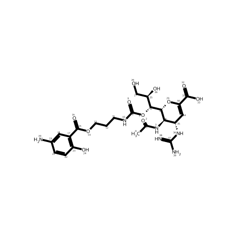 CC(=O)N[C@H]1[C@H]([C@H](OC(=O)NCCCOC(=O)c2cc(N)ccc2O)[C@H](O)CO)OC(C(=O)O)=C[C@@H]1NC(=N)N